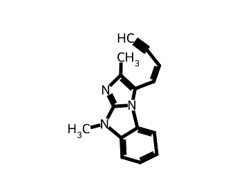 C#C/C=C\c1c(C)nc2n(C)c3ccccc3n12